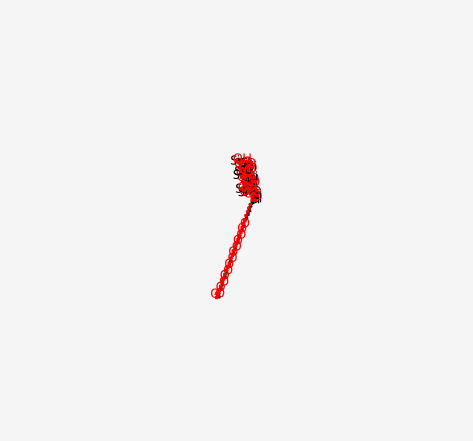 C=C(C)C(=O)OCCOCCOCCOCCOCCOCCOCCOCCOCCOCCOCCOCCOCCCCCCCCCCC[Si](C)(C)[Si](C)(C)O[Si](C)(C)O[Si](C)(C)O[Si](C)(C)O[Si](C)(C)O[Si](C)(C)O[Si](C)(C)O[Si](C)(C)O[Si](C)(C)O[Si](C)(C)O[Si](C)(C)O[Si](C)(C)O[Si](C)(C)O[Si](C)(C)O[Si](C)(C)O[Si](C)(C)O[Si](C)(C)O[Si](C)(C)O[Si](C)(C)O[Si](C)(C)O[Si](C)(C)O[Si](C)(C)O